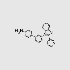 Nc1ccc(-c2cccc(-n3c(-c4ccccc4)nc4ccccc43)c2)cc1